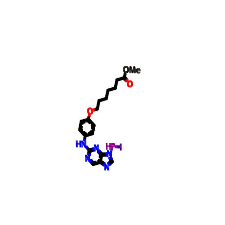 COC(=O)CCCCCCOc1ccc(Nc2ncc3ncn(PI)c3n2)cc1